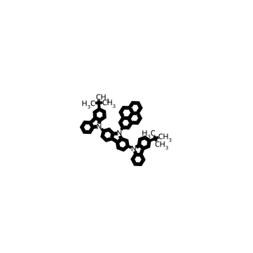 CC(C)(C)c1ccc2c(c1)c1ccccc1n2-c1ccc2c3ccc(-n4c5ccccc5c5cc(C(C)(C)C)ccc54)cc3n(-c3cc4ccc5cccc6ccc(c3)c4c56)c2c1